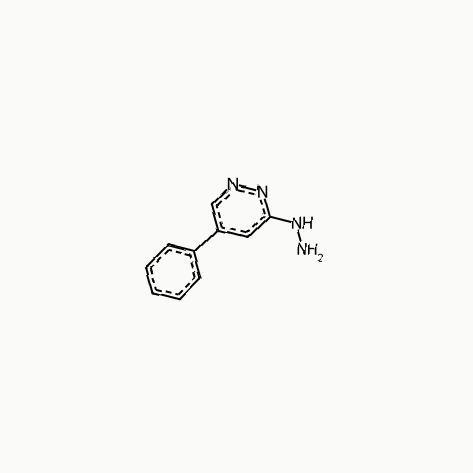 NNc1cc(-c2ccccc2)cnn1